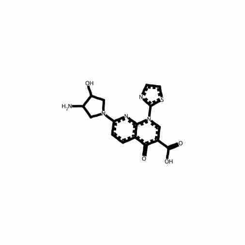 NC1CN(c2ccc3c(=O)c(C(=O)O)cn(-c4nccs4)c3n2)CC1O